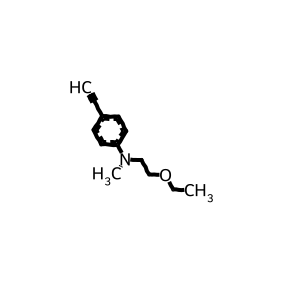 C#Cc1ccc(N(C)CCOCC)cc1